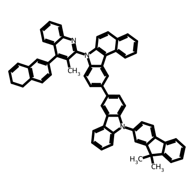 Cc1c(-n2c3ccc(-c4ccc5c(c4)c4ccccc4n5-c4ccc5c(c4)C(C)(C)c4ccccc4-5)cc3c3c4ccccc4ccc32)nc2ccccc2c1-c1ccc2c(c1)C=CCC2